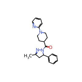 CC1=NN(C(=O)C2CCN(c3ccccn3)CC2)C(c2ccccc2)C1